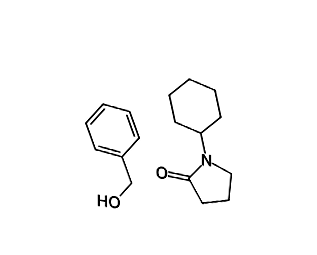 O=C1CCCN1C1CCCCC1.OCc1ccccc1